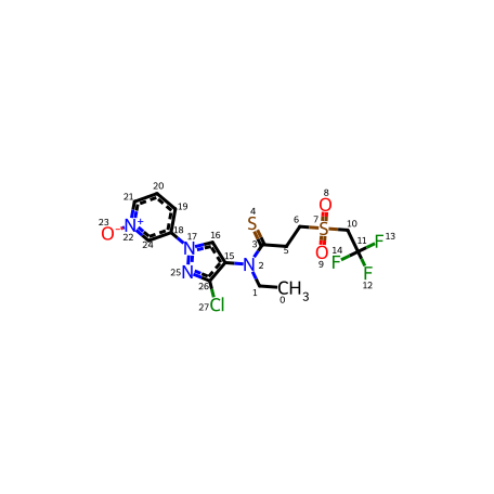 CCN(C(=S)CCS(=O)(=O)CC(F)(F)F)c1cn(-c2ccc[n+]([O-])c2)nc1Cl